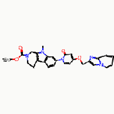 Cn1c2c(c3ccc(-n4ccc(OCc5cn6ccccc6n5)cc4=O)cc31)CCN(C(=O)OC(C)(C)C)C2